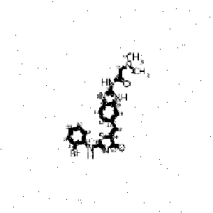 CN(C)CC(=O)Nc1nc2ccc(/C=C3\SC(Nc4ccccc4Br)=NC3=O)cc2[nH]1